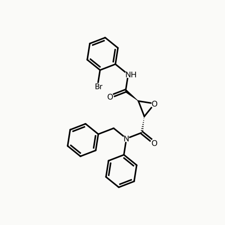 O=C(Nc1ccccc1Br)[C@H]1O[C@@H]1C(=O)N(Cc1ccccc1)c1ccccc1